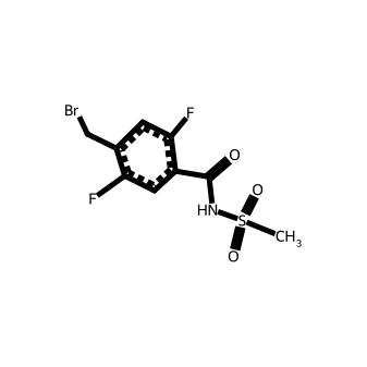 CS(=O)(=O)NC(=O)c1cc(F)c(CBr)cc1F